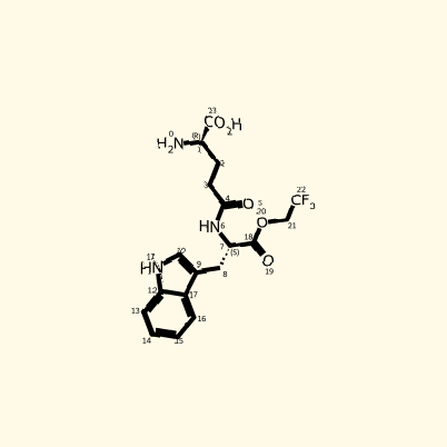 N[C@H](CCC(=O)N[C@@H](Cc1c[nH]c2ccccc12)C(=O)OCC(F)(F)F)C(=O)O